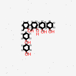 Cc1ccccc1O.Cc1ccccc1O.Oc1ccccc1.Oc1ccccc1.Oc1ccccc1.Oc1ccccc1